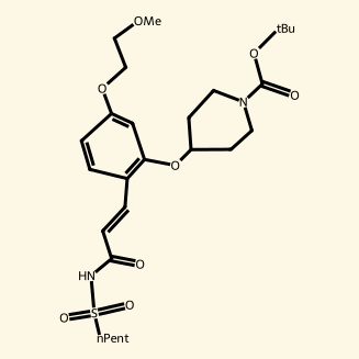 CCCCCS(=O)(=O)NC(=O)C=Cc1ccc(OCCOC)cc1OC1CCN(C(=O)OC(C)(C)C)CC1